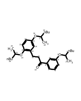 CCCCC(C)Oc1cccc(C(=O)CCc2cc(OC(C)CCCC)ccc2OC(C)CCCC)c1